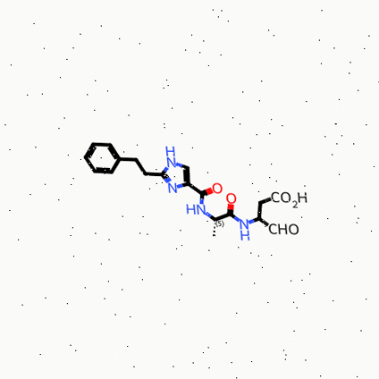 C[C@H](NC(=O)c1c[nH]c(CCc2ccccc2)n1)C(=O)NC(C=O)CC(=O)O